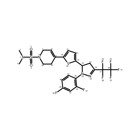 CN(C)S(=O)(=O)N1CC=C(c2ccc(C3CC(C(F)(F)C(F)(F)F)=NN3c3ccc(F)cc3F)s2)CC1